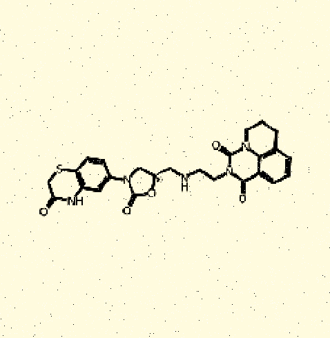 O=C1CSc2ccc(N3C[C@@H](CNCCn4c(=O)c5cccc6c5n(c4=O)CCC6)OC3=O)cc2N1